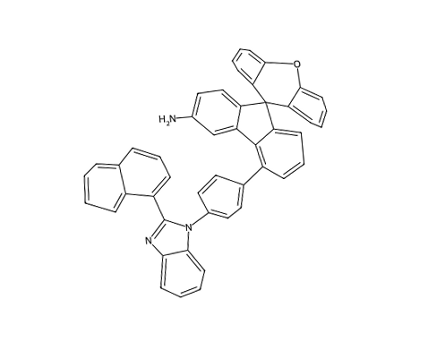 Nc1ccc2c(c1)-c1c(-c3ccc(-n4c(-c5cccc6ccccc56)nc5ccccc54)cc3)cccc1C21c2ccccc2Oc2ccccc21